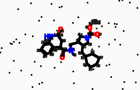 CN(CC1CN(C(=O)OC(C)(C)C)CC1CC1CCCCC1)C(=O)C1CC(=O)Nc2ccccc21